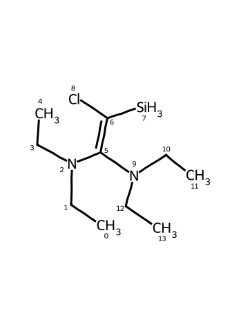 CCN(CC)C(=C([SiH3])Cl)N(CC)CC